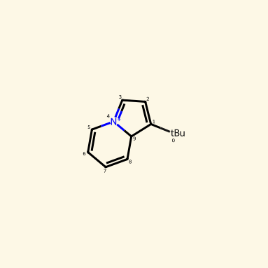 CC(C)(C)C1=CC=[N+]2C=CC=CC12